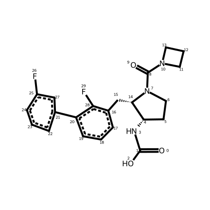 O=C(O)N[C@H]1CCN(C(=O)N2CCC2)[C@H]1Cc1cccc(-c2cccc(F)c2)c1F